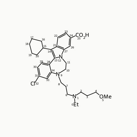 CCN(CCCOC)CCCN1CCn2c(c(C3CCCCC3)c3ccc(C(=O)O)cc32)-c2ccc(Cl)cc21